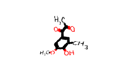 COc1cc(C(=O)C(C)=O)cc(C)c1O